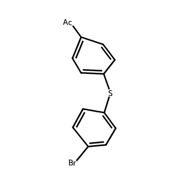 CC(=O)c1ccc(Sc2ccc(Br)cc2)cc1